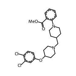 COC(=O)c1ccccc1N1CCC(CN2CCC(Oc3ccc(Cl)c(Cl)c3)CC2)CC1